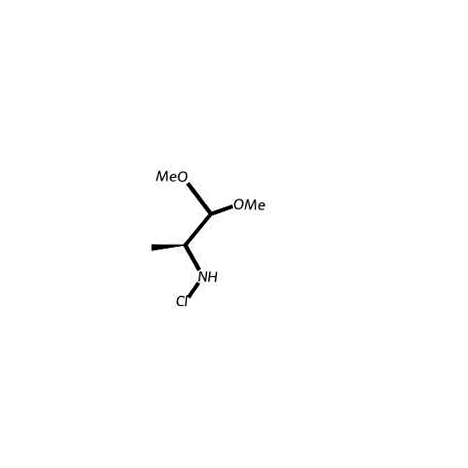 COC(OC)[C@H](C)NCl